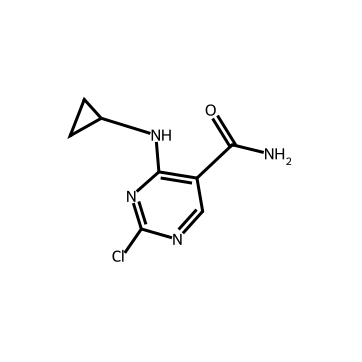 NC(=O)c1cnc(Cl)nc1NC1CC1